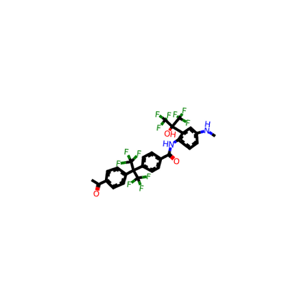 CNc1ccc(NC(=O)c2ccc(C(c3ccc(C(C)=O)cc3)(C(F)(F)F)C(F)(F)F)cc2)c(C(O)(C(F)(F)F)C(F)(F)F)c1